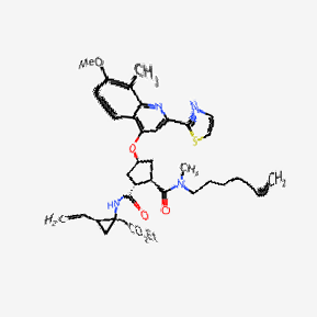 C=CCCCCN(C)C(=O)[C@@H]1C[C@H](Oc2cc(-c3nccs3)nc3c(C)c(OC)ccc23)C[C@H]1C(=O)N[C@]1(C(=O)OCC)C[C@H]1C=C